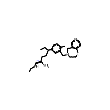 CCP/C=C(\N)CCC(CC)c1ccc(C)c(CN2CCOc3ccncc3C2)c1